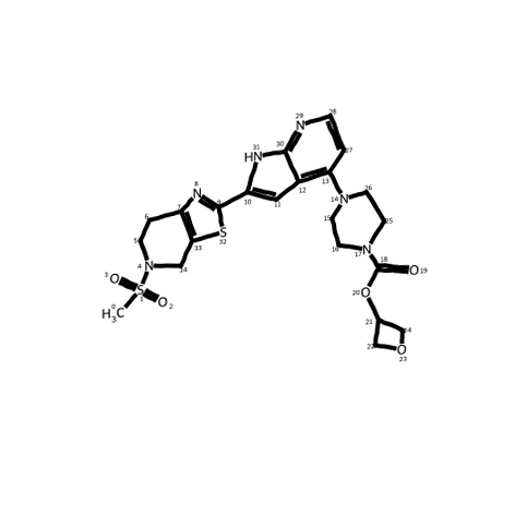 CS(=O)(=O)N1CCc2nc(-c3cc4c(N5CCN(C(=O)OC6COC6)CC5)ccnc4[nH]3)sc2C1